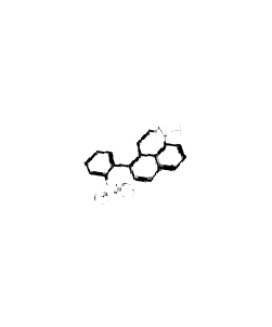 O=[N+]([O-])c1ccccc1-c1ccc2cccc3c2c1C=CN3